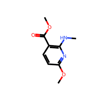 CNc1nc(OC)ccc1C(=O)OC